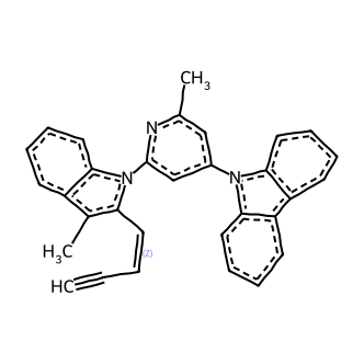 C#C/C=C\c1c(C)c2ccccc2n1-c1cc(-n2c3ccccc3c3ccccc32)cc(C)n1